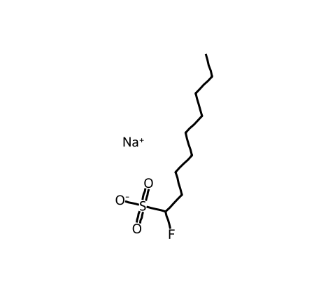 CCCCCCCCC(F)S(=O)(=O)[O-].[Na+]